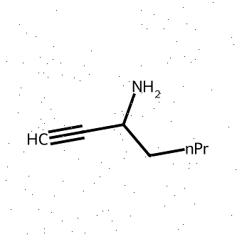 C#CC(N)CCCC